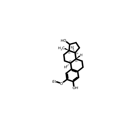 CCOc1cc2c(cc1O)CC[C@@H]1[C@@H]2CC[C@]2(C)C(O)CC[C@@H]12